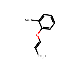 COc1ccccc1OC=CC(=O)O